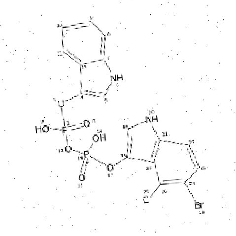 O=P(O)(Oc1c[nH]c2ccccc12)OP(=O)(O)Oc1c[nH]c2ccc(Br)c(Cl)c12